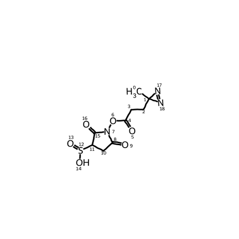 CC1(CCC(=O)ON2C(=O)CC(S(=O)O)C2=O)N=N1